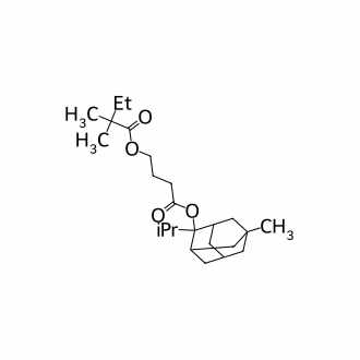 CCC(C)(C)C(=O)OCCCC(=O)OC1(C(C)C)C2CC3CC1CC(C)(C3)C2